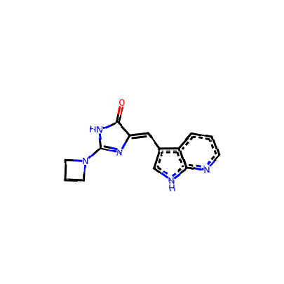 O=C1NC(N2CCC2)=NC1=Cc1c[nH]c2ncccc12